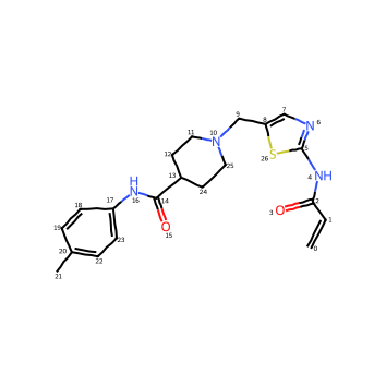 C=CC(=O)Nc1ncc(CN2CCC(C(=O)Nc3ccc(C)cc3)CC2)s1